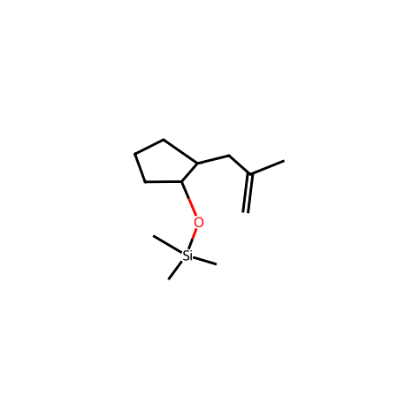 C=C(C)C[C]1CCCC1O[Si](C)(C)C